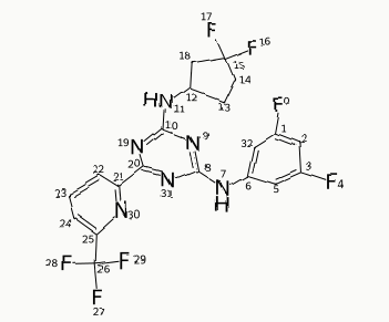 Fc1cc(F)cc(Nc2nc(NC3CCC(F)(F)C3)nc(-c3cccc(C(F)(F)F)n3)n2)c1